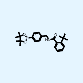 CC(C)(C)c1ccccc1C(=O)NCc1ccc(B2OC(C)(C)C(C)(C)O2)cc1